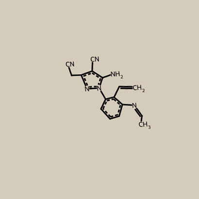 C=Cc1c(/N=C\C)cccc1-n1nc(CC#N)c(C#N)c1N